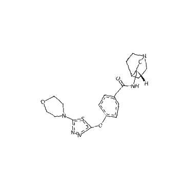 O=C(N[C@H]1CN2CCC1CC2)c1ccc(Oc2nnc(N3CCOCC3)s2)cc1